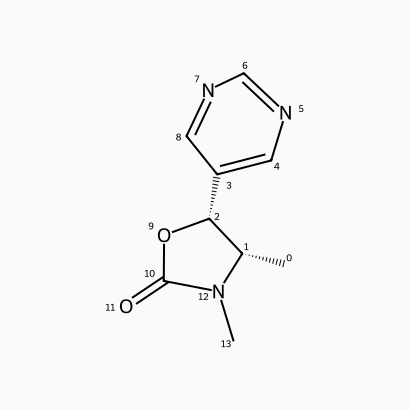 C[C@H]1[C@@H](c2cncnc2)OC(=O)N1C